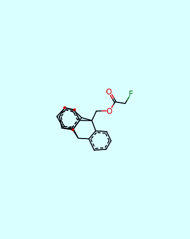 O=C(CF)OCC12c3ccccc3C(c3ccccc31)c1ccccc12